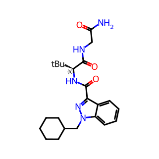 CC(C)(C)[C@H](NC(=O)c1nn(CC2CCCCC2)c2ccccc12)C(=O)NCC(N)=O